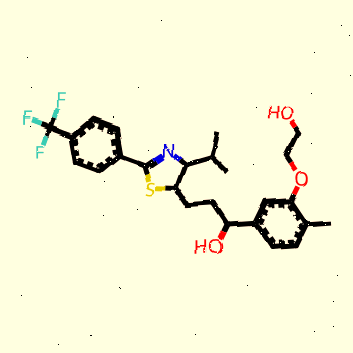 Cc1ccc(C(O)CCC2SC(c3ccc(C(F)(F)F)cc3)=NC2C(C)C)cc1OCCO